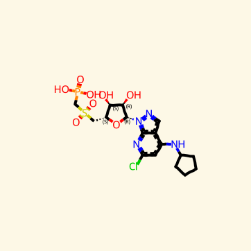 O=P(O)(O)CS(=O)(=O)C[C@H]1O[C@@H](n2ncc3c(NC4CCCC4)cc(Cl)nc32)[C@H](O)[C@@H]1O